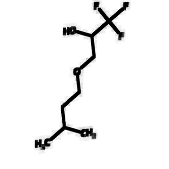 CC(C)CCOCC(O)C(F)(F)F